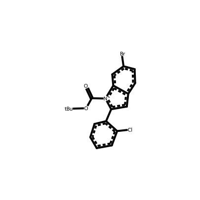 CC(C)(C)OC(=O)n1c(-c2ccccc2Cl)cc2ccc(Br)cc21